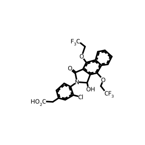 O=C(O)Cc1ccc(N2C(=O)c3c(c(OCC(F)(F)F)c4ccccc4c3OCC(F)(F)F)C2O)c(Cl)c1